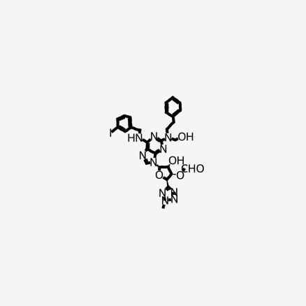 Cn1nnc([C@H]2O[C@@H](n3cnc4c(NCc5cccc(I)c5)nc(N(CO)CCc5ccccc5)nc43)[C@H](O)[C@@H]2OC=O)n1